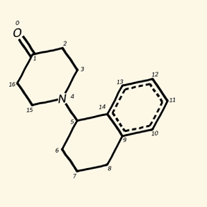 O=C1CCN(C2CCCc3ccccc32)CC1